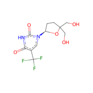 O=c1[nH]c(=O)n([C@H]2CCC(CO)(CO)O2)cc1C(F)(F)F